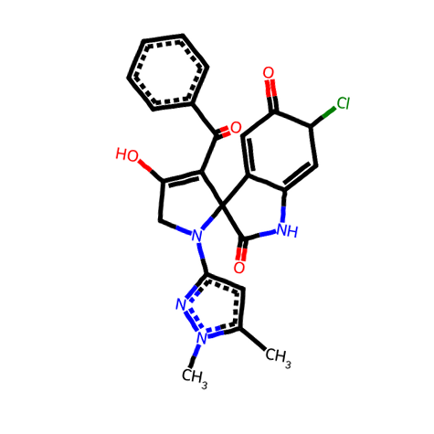 Cc1cc(N2CC(O)=C(C(=O)c3ccccc3)C23C(=O)NC2=CC(Cl)C(=O)C=C23)nn1C